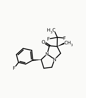 CC(F)(F)[C@]1(C)CN2CC[C@@H](c3cccc(F)c3)N2C1=O